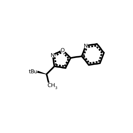 C[C@H](c1cc(-c2ccccn2)on1)C(C)(C)C